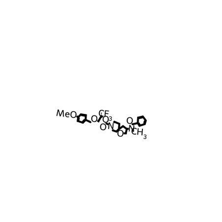 COc1ccc(COC[C@@H](OC(=O)N2CCC3(CC2)CC(N(C)C(=O)c2ccccc2)CO3)C(F)(F)F)cc1